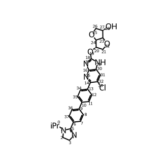 CC(C)N1CCN=C1c1ccc(-c2ccc(-c3nc4nc(O[C@@H]5COC6C5OC[C@H]6O)[nH]c4cc3Cl)cc2)cc1